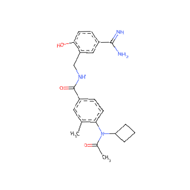 CC(=O)N(c1ccc(C(=O)NCc2cc(C(=N)N)ccc2O)cc1C)C1CCC1